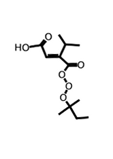 CCC(C)(C)OOOC(=O)C(=CC(=O)O)C(C)C